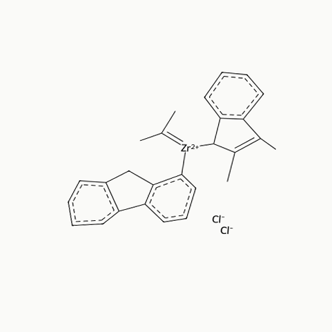 CC1=C(C)[CH]([Zr+2](=[C](C)C)[c]2cccc3c2Cc2ccccc2-3)c2ccccc21.[Cl-].[Cl-]